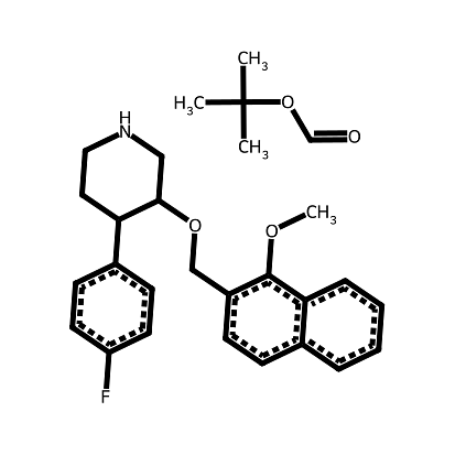 CC(C)(C)OC=O.COc1c(COC2CNCCC2c2ccc(F)cc2)ccc2ccccc12